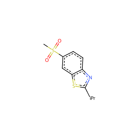 CC(C)c1nc2ccc(S(C)(=O)=O)cc2s1